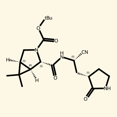 CC(C)(C)OC(=O)N1C[C@H]2[C@@H]([C@H]1C(=O)N[C@H](C#N)C[C@@H]1CCNC1=O)C2(C)C